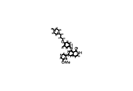 COc1cncc(-c2cc3cc[nH]c(=O)c3c(Nc3ccc(OCCCN4CCN(C)CC4)c(C)c3)n2)n1